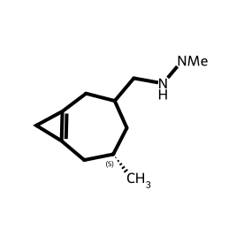 CNNCC1CC2=C(C2)C[C@@H](C)C1